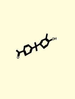 CC(=O)c1ccc(C(C)(C)c2ccc(O)c(C)c2)cc1